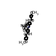 COc1ccc(C(=O)Nc2ccc(/C=C/c3ccc(NC(=O)c4ccc(OC)cc4)cc3S(=O)(=O)[O-])c(S(=O)(=O)[O-])c2)cc1.[Na+].[Na+]